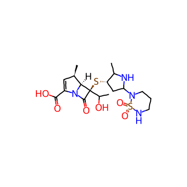 CC1NC(N2CCCNS2(=O)=O)C[C@@H]1S[C@@]1(C(C)O)C(=O)N2C(C(=O)O)=C[C@@H](C)[C@H]21